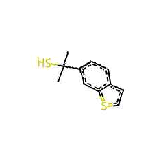 CC(C)(S)c1ccc2ccsc2c1